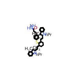 CCCN1/C(=C/C=C2\CCCC(/C=C/C3=[N+](CCC)c4ccccc4C3(C)C)=C2Sc2ccc(CCC(=O)NN)cc2)C(C)(C)c2ccccc21